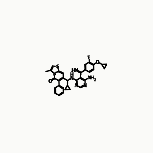 Cc1csc2cc([C@@H](Nc3ncnc(N)c3C(=N)c3ccc(OC4CC4)c(F)c3)C3CC3)c(-c3ccccc3)c(=O)n12